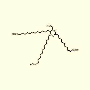 CCCCCCCC/C=C\CCCCCCCC(=O)OC(CO)C(CCCCCCCCCCCCCCCCCCCCCC)OCCCCCCCCCCCCCCCCCCCCCC